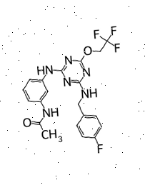 CC(=O)Nc1cccc(Nc2nc(NCc3ccc(F)cc3)nc(OCC(F)(F)F)n2)c1